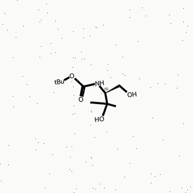 CC(C)(C)OC(=O)N[C@@H](CO)C(C)(C)O